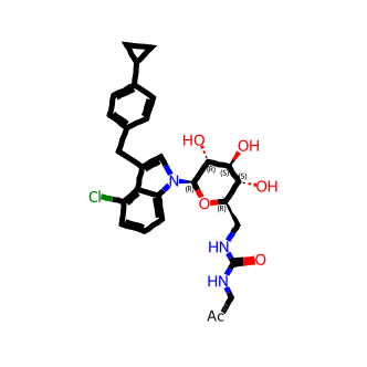 CC(=O)CNC(=O)NC[C@H]1O[C@@H](n2cc(Cc3ccc(C4CC4)cc3)c3c(Cl)cccc32)[C@H](O)[C@@H](O)[C@@H]1O